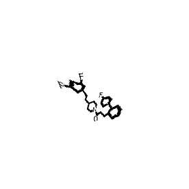 O=C(CCc1ccccc1-c1ccc(F)cc1)N1CCC(CCc2cc(F)cc(F)c2)CC1